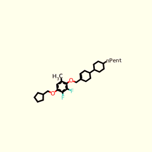 CCCCCC1CCC(C2CC=C(COc3c(C)cc(OCC4CCCC4)c(F)c3F)CC2)CC1